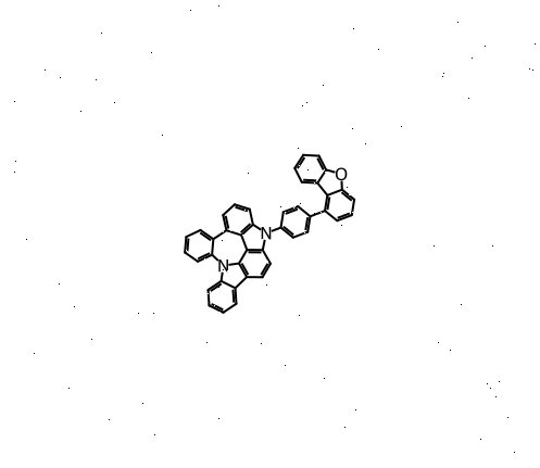 c1ccc2c(c1)oc1cccc(-c3ccc(-n4c5cccc6c7ccccc7n7c8ccccc8c8ccc4c(c65)c87)cc3)c12